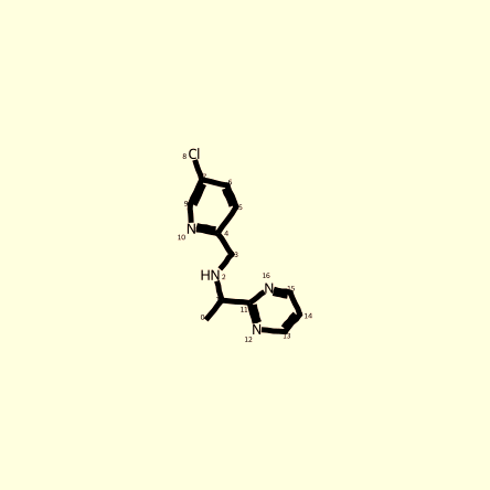 CC(NCc1ccc(Cl)cn1)c1ncccn1